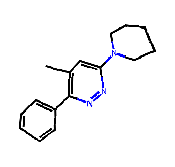 Cc1cc(N2CCCCC2)nnc1-c1ccccc1